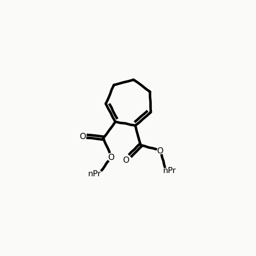 CCCOC(=O)C1=CCCCC=C1C(=O)OCCC